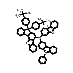 CC(C)(C)c1ccc(C2(c3ccc(C(C)(C)C)cc3)c3ccccc3-c3c2cc(N(c2ccc4c(c2)oc2ccccc24)c2ccc4c(c2)c2ccccc2n4-c2ccccc2)c2c3oc3ccccc32)cc1